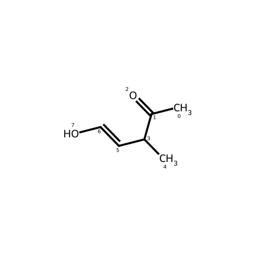 CC(=O)C(C)/C=C/O